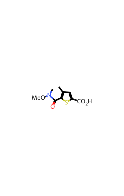 CON(C)C(=O)c1sc(C(=O)O)cc1C